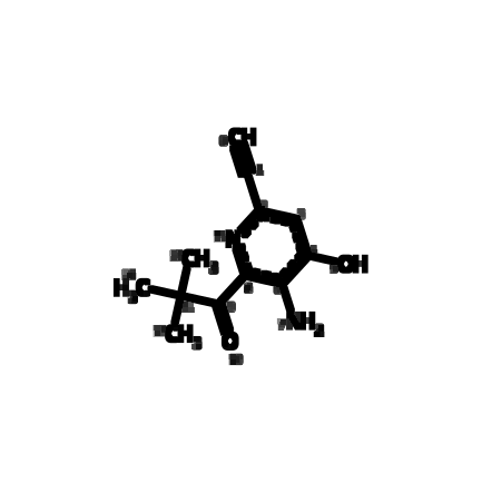 C#Cc1cc(O)c(N)c(C(=O)C(C)(C)C)n1